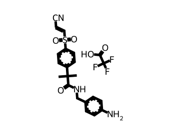 CC(C)(C(=O)NCc1ccc(N)cc1)c1ccc(S(=O)(=O)C=CC#N)cc1.O=C(O)C(F)(F)F